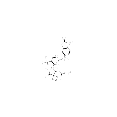 COC(=O)C1(C(CC(N)=O)Nc2nc(Nc3ccc4c(c3)CC(=O)N4)ncc2C(F)(F)F)CCC1